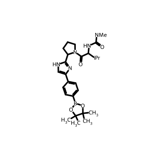 CNC(=O)NC(C(=O)N1CCCC1c1nc(-c2ccc(B3OC(C)(C)C(C)(C)O3)cc2)c[nH]1)C(C)C